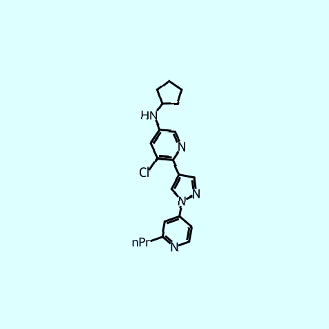 CCCc1cc(-n2cc(-c3ncc(NC4CCCC4)cc3Cl)cn2)ccn1